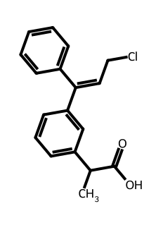 CC(C(=O)O)c1cccc(C(=CCCl)c2ccccc2)c1